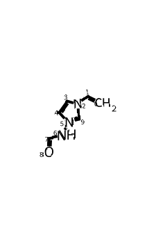 C=Cn1cc[n+](NC=O)c1